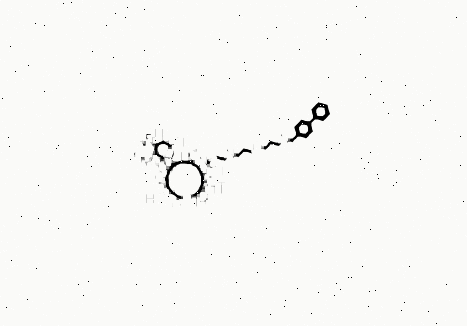 CC[C@H]1OC(=O)[C@H](C)C(=O)[C@H](C)[C@@H](O[C@@H]2O[C@H](C)C[C@H](N(C)C)[C@H]2O)[C@@](C)(OC)C[C@@H](C)C(=NOCCNCCCOCCCNCc2ccc(-c3ccccc3)cc2)[C@H](C)[C@@H](O)[C@]1(C)O